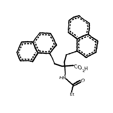 CCC(=O)NC(Cc1cccc2ccccc12)(Cc1cccc2ccccc12)C(=O)O